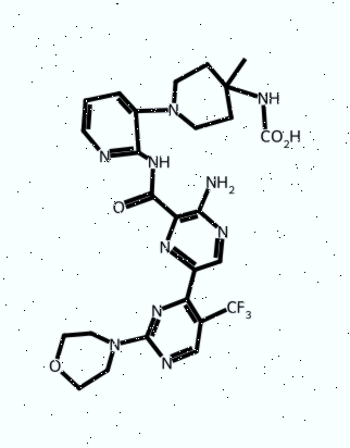 CC1(NC(=O)O)CCN(c2cccnc2NC(=O)c2nc(-c3nc(N4CCOCC4)ncc3C(F)(F)F)cnc2N)CC1